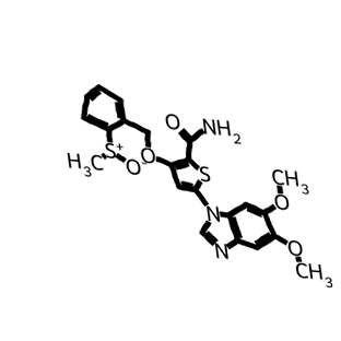 COc1cc2ncn(-c3cc(OCc4ccccc4[S+](C)[O-])c(C(N)=O)s3)c2cc1OC